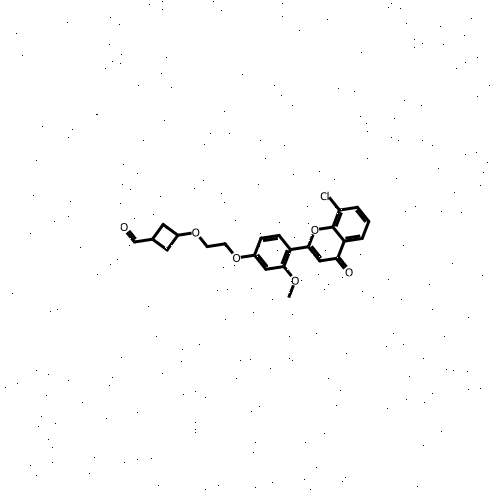 COc1cc(OCCOC2CC(C=O)C2)ccc1-c1cc(=O)c2cccc(Cl)c2o1